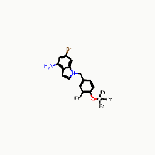 CC(C)c1cc(Cn2ccc3c(N)cc(Br)cc32)ccc1O[Si](C(C)C)(C(C)C)C(C)C